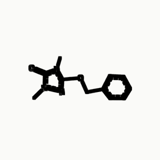 Cn1nc(OCc2ccccc2)n(C)c1=O